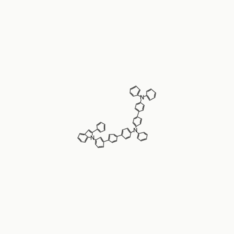 c1ccc(-c2cc3ccccc3n2-c2cccc(-c3ccc(-c4ccc(N(c5ccccc5)c5ccc(-c6ccc(N(c7ccccc7)c7ccccc7)cc6)cc5)cc4)cc3)c2)cc1